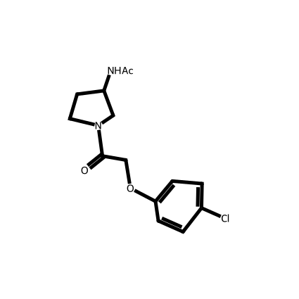 CC(=O)NC1CCN(C(=O)COc2ccc(Cl)cc2)C1